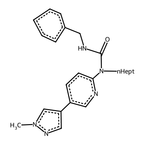 CCCCCCCN(C(=O)NCc1ccccc1)c1ccc(-c2cnn(C)c2)cn1